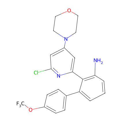 Nc1cccc(-c2ccc(OC(F)(F)F)cc2)c1-c1cc(N2CCOCC2)cc(Cl)n1